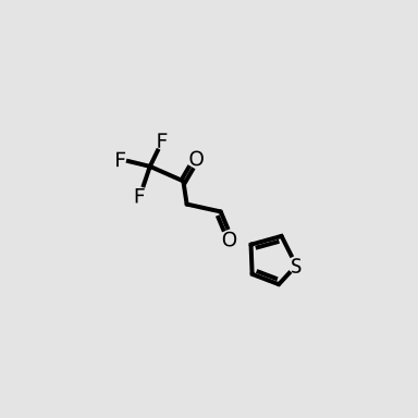 O=CCC(=O)C(F)(F)F.c1ccsc1